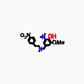 COc1cc(CN(C)CCc2ccc([N+](=O)[O-])cc2)cc(N(C)C)c1O